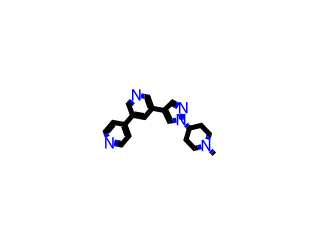 CN1CCC(n2cc(-c3cncc(-c4ccncc4)c3)cn2)CC1